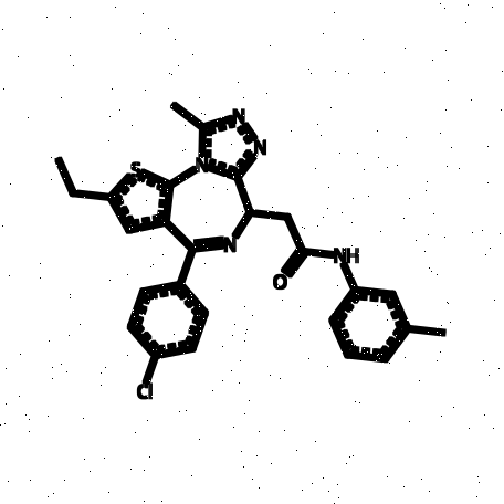 CCc1cc2c(s1)-n1c(C)nnc1C(CC(=O)Nc1cccc(C)c1)N=C2c1ccc(Cl)cc1